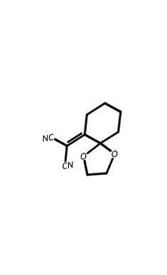 N#CC(C#N)=C1CCCCC12OCCO2